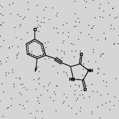 O=C1NC(=O)C(C#Cc2cc(Cl)ccc2F)N1